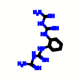 N=C(N)NC(=N)Nc1ccccc1NC(=N)NC(=N)N